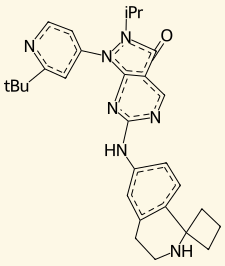 CC(C)n1c(=O)c2cnc(Nc3ccc4c(c3)CCNC43CCC3)nc2n1-c1ccnc(C(C)(C)C)c1